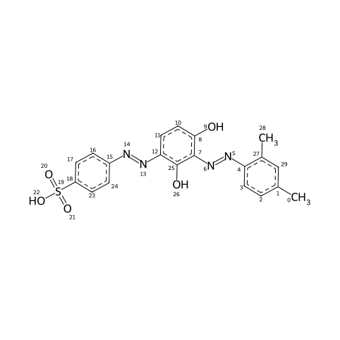 Cc1ccc(N=Nc2c(O)ccc(N=Nc3ccc(S(=O)(=O)O)cc3)c2O)c(C)c1